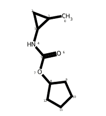 CC1CC1NC(=O)OC1CCCC1